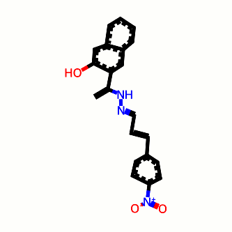 C=C(N/N=C/C=C/c1ccc([N+](=O)[O-])cc1)c1cc2ccccc2cc1O